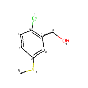 CSc1ccc(Cl)c(CO)c1